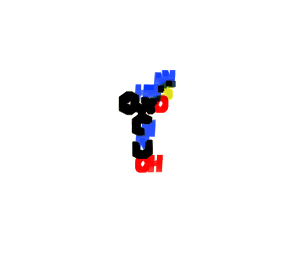 CC(C)(C(=O)Nc1nncs1)C(c1ccccc1)c1ccc(N2CCC(O)CC2)nc1